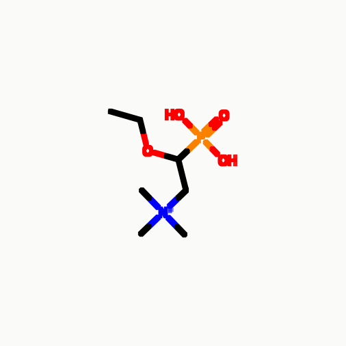 CCOC(C[N+](C)(C)C)P(=O)(O)O